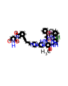 COc1cc(N2CCC(N3CCN(CCCC#Cc4cccc5c4CN(C4CCC(=O)NC4=O)C5=O)CC3)CC2)c(NC(=O)C=Cc2ccccc2)cc1Nc1ncc(Cl)c(Nc2ccccc2P(C)(C)=O)n1